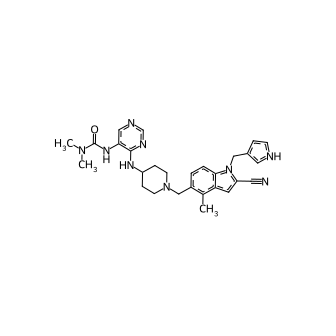 Cc1c(CN2CCC(Nc3ncncc3NC(=O)N(C)C)CC2)ccc2c1cc(C#N)n2Cc1cc[nH]c1